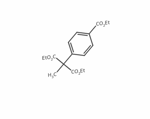 CCOC(=O)c1ccc(C(C)(C(=O)OCC)C(=O)OCC)cc1